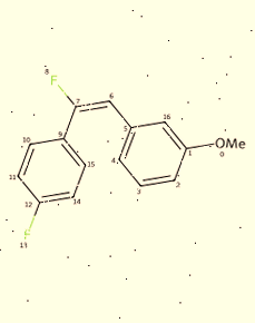 COc1cccc(/C=C(/F)c2ccc(F)cc2)c1